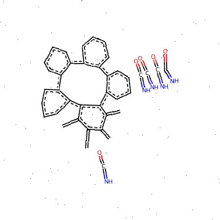 C=c1c(=C)c(=C)c2c3ccccc3c3ccccc3c3ccccc3c3ccccc3c2c1=C.N=C=O.N=C=O.N=C=O.N=C=O.N=C=O